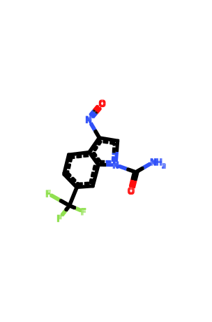 NC(=O)n1cc(N=O)c2ccc(C(F)(F)F)cc21